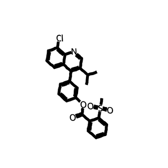 CC(C)c1cnc2c(Cl)cccc2c1-c1cccc(OC(=O)c2ccccc2S(C)(=O)=O)c1